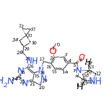 COc1cc(C(=O)N2C[C@@H]3C[C@H]2CN3)ccc1Cn1ncc2nc(N)nc(NCC3CC4(CC4)C3)c21